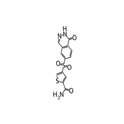 NC(=O)c1cc(S(=O)(=O)c2ccc3c(=O)[nH]ncc3c2)cs1